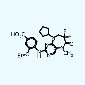 CCOc1cc(C(=O)O)ccc1Nc1ncc2c(n1)N(C1CCCC1)CC(F)(F)C(=O)N2C